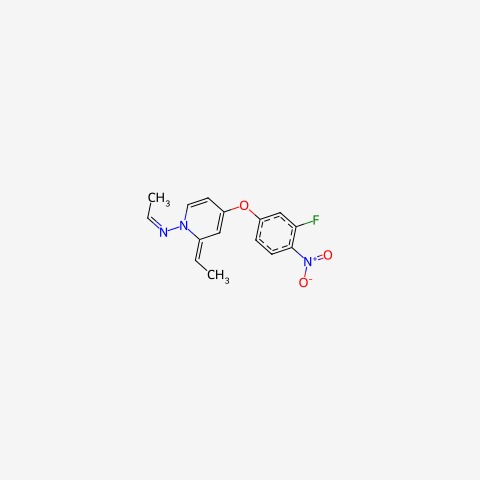 C/C=N\N1C=CC(Oc2ccc([N+](=O)[O-])c(F)c2)=C/C1=C\C